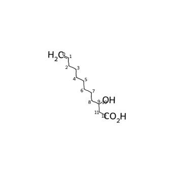 C=CCCCCCCCC(O)CC(=O)O